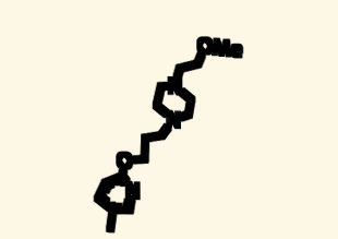 COCCN1CCN(CCCOc2ccc(C)cn2)CC1